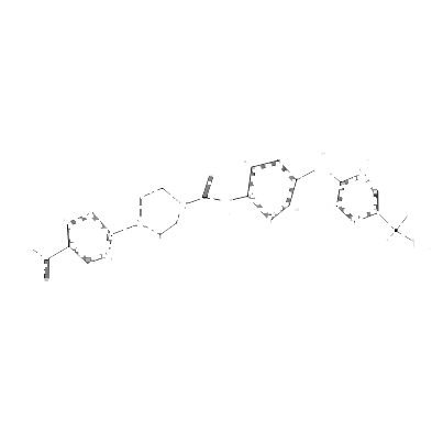 O=C(O)c1ccc(N2CCN(C(=O)Oc3ccc(Oc4ccc(C(F)(F)F)cn4)cc3)CC2)nc1